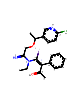 CCN(C(=N)COC(C)c1ccc(Cl)nc1)/C(I)=C(\C(C)=O)c1ccccc1